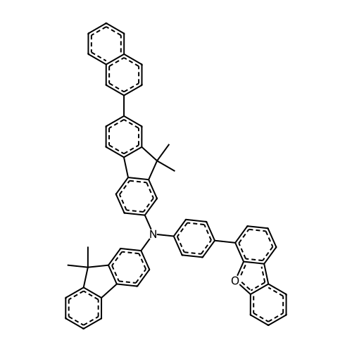 CC1(C)c2ccccc2-c2ccc(N(c3ccc(-c4cccc5c4oc4ccccc45)cc3)c3ccc4c(c3)C(C)(C)c3cc(-c5ccc6ccccc6c5)ccc3-4)cc21